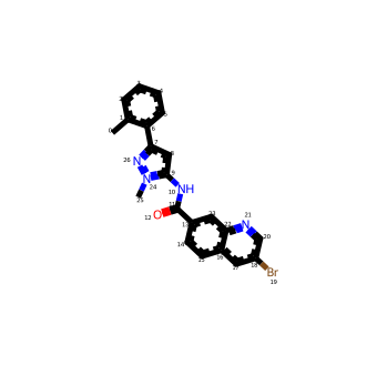 Cc1ccccc1-c1cc(NC(=O)c2ccc3cc(Br)cnc3c2)n(C)n1